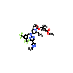 CC[C@@H]1C[C@H](N(Cc2cc(C(F)(F)F)cc(C(F)(F)F)c2)c2ncc(-c3cnn(C)c3)cn2)C[C@H](CC)N1C(=O)OCC(C)(C)CCC(=O)OC